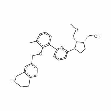 COC[C@@H]1[C@H](CO)CCN1c1cccc(-c2cccc(C)c2OCc2ccc3c(c2)CNCC3)n1